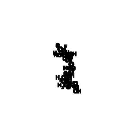 C[C@H](NC(=O)CCN1C(=O)C=CC1O)C(=O)N[C@@H](C)C(=O)Nc1ccc(Oc2ccc([C@@H]3O[C@@H]4C[C@H]5[C@@H]6C[C@H](F)C7=CC(=O)C=C[C@]7(C)[C@@]6(F)[C@@H](O)C[C@]5(C)[C@]4(C(=O)CO)O3)cc2O)cc1